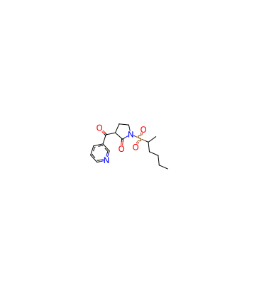 CCCCC(C)S(=O)(=O)N1CCC(C(=O)c2cccnc2)C1=O